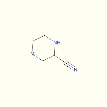 N#CC1C[N]CCN1